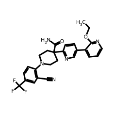 CCOc1ncccc1-c1ccc(C2(C(N)=O)CCN(c3ccc(C(F)(F)F)cc3C#N)CC2)nc1